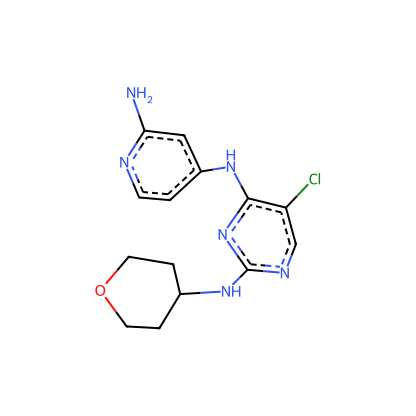 Nc1cc(Nc2nc(NC3CCOCC3)ncc2Cl)ccn1